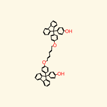 Oc1ccc(C2(c3ccc(OC/C=C/C=C/COc4ccc(C5(c6ccc(O)cc6)c6ccccc6-c6ccccc65)cc4)cc3)c3ccccc3-c3ccccc32)cc1